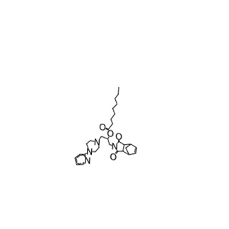 CCCCCCCCC(=O)OC(CN1CCN(c2ccccn2)CC1)CN1C(=O)C2C3C=CC(C3)C2C1=O